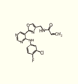 C=CC(=O)NCc1coc(-c2cncnc2Nc2ccc(F)c(Cl)c2)n1